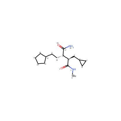 CC(C)(C)NC(=O)[C@H](CC1CC1)[C@H](CCC1CCCC1)C(N)=O